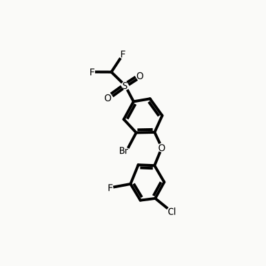 O=S(=O)(c1ccc(Oc2cc(F)cc(Cl)c2)c(Br)c1)C(F)F